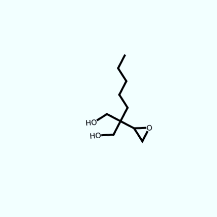 CCCCCC(CO)(CO)C1CO1